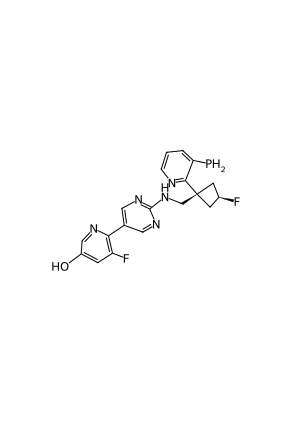 Oc1cnc(-c2cnc(NC[C@]3(c4ncccc4P)C[C@H](F)C3)nc2)c(F)c1